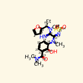 CC[C@H](c1ccco1)N(C)C(=N)/C(=N\[SH](=O)=O)N(C)c1cccc(C(=O)N(C)C)c1O